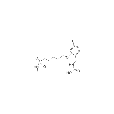 CNS(=O)(=O)CCCCCOc1cc(F)ccc1CNC(=O)O